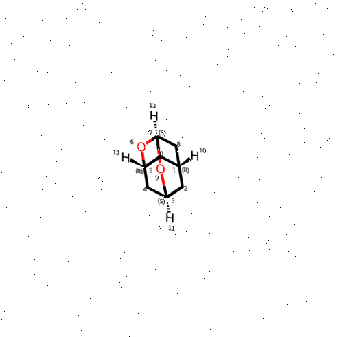 C1[C@H]2C[C@H]3C[C@@H]1O[C@@H](C2)O3